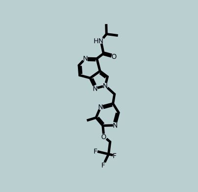 Cc1nc(Cn2cc3c(C(=O)NC(C)C)nccc3n2)cnc1OCC(F)(F)F